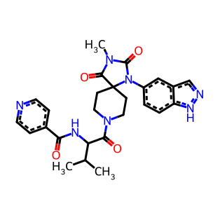 CC(C)C(NC(=O)c1ccncc1)C(=O)N1CCC2(CC1)C(=O)N(C)C(=O)N2c1ccc2[nH]ncc2c1